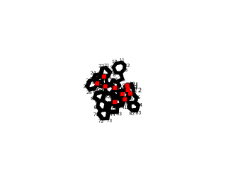 [CH3][Zr]([CH3])(=[SiH2])([CH]1C(CC2CCCCCC2)=Cc2c(-c3c4ccccc4cc4ccccc34)ccc(-c3c4ccccc4cc4ccccc34)c21)[CH]1C(CC2CCCCCC2)=Cc2c(-c3c4ccccc4cc4ccccc34)ccc(-c3c4ccccc4cc4ccccc34)c21